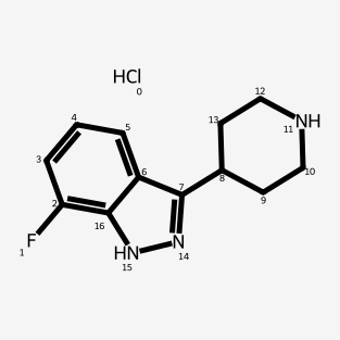 Cl.Fc1cccc2c(C3CCNCC3)n[nH]c12